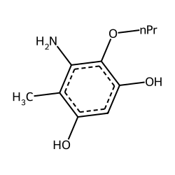 CCCOc1c(O)cc(O)c(C)c1N